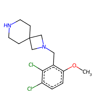 COc1ccc(Cl)c(Cl)c1CN1CC2(CCNCC2)C1